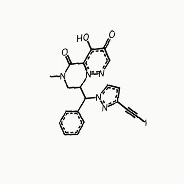 CN1CC(C(c2ccccc2)n2ccc(C#CI)n2)n2ncc(=O)c(O)c2C1=O